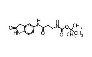 CC(C)(C)OC(=O)NCCC(=O)Nc1ccc2c(c1)CC(=O)N2